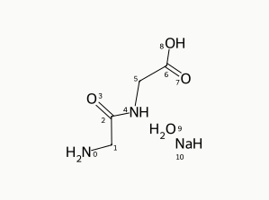 NCC(=O)NCC(=O)O.O.[NaH]